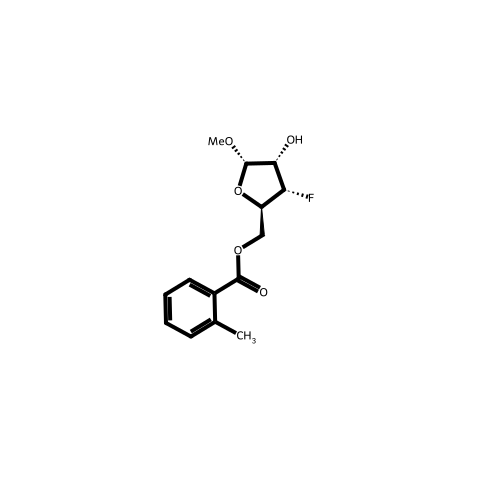 CO[C@H]1O[C@H](COC(=O)c2ccccc2C)[C@@H](F)[C@H]1O